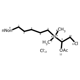 CCCCCCCCCCCCCC[N+](C)(C)C(CCl)OC(C)=O.[Cl-]